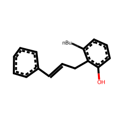 CCCCc1cccc(O)c1CC=Cc1ccccc1